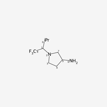 CC(C)C(N1CCC(N)C1)C(F)(F)F